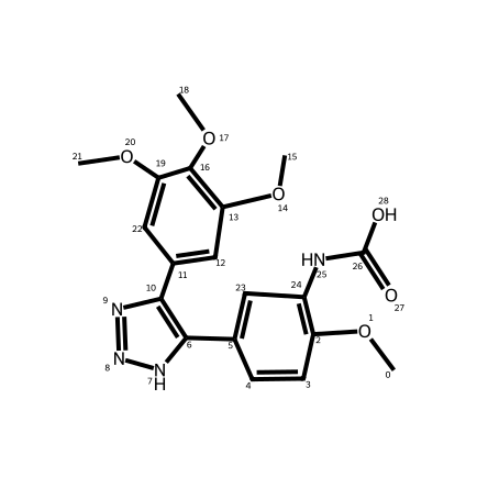 COc1ccc(-c2[nH]nnc2-c2cc(OC)c(OC)c(OC)c2)cc1NC(=O)O